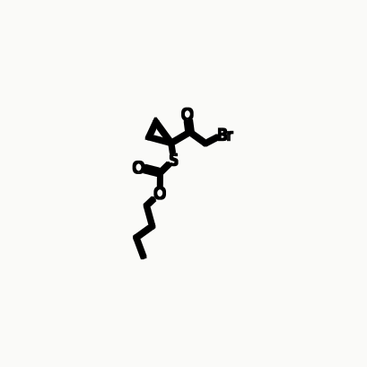 CCCCOC(=O)SC1(C(=O)CBr)CC1